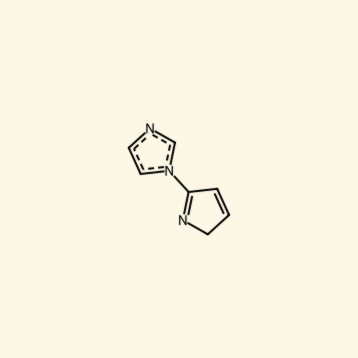 C1=CC(n2ccnc2)=NC1